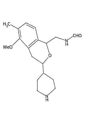 COc1c(C)ccc2c1CC(C1CCNCC1)OC2CNC=O